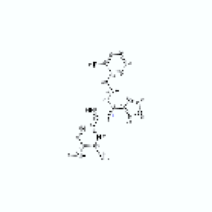 CNc1cnc(C(=N)/C=C(\CNCc2ccccc2F)c2ccon2)nc1N